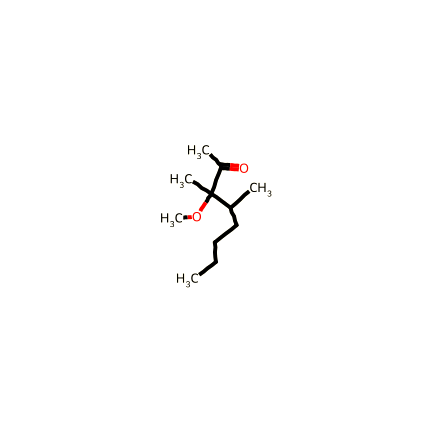 CCCCC(C)C(C)(OC)C(C)=O